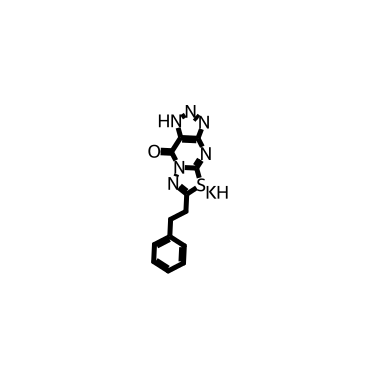 O=c1c2[nH]nnc2nc2sc(CCc3ccccc3)nn12.[KH]